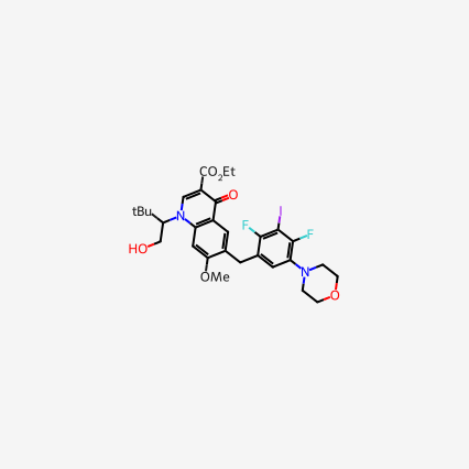 CCOC(=O)c1cn(C(CO)C(C)(C)C)c2cc(OC)c(Cc3cc(N4CCOCC4)c(F)c(I)c3F)cc2c1=O